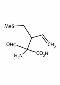 C=CC(CSC)C(N)(C=O)C(=O)O